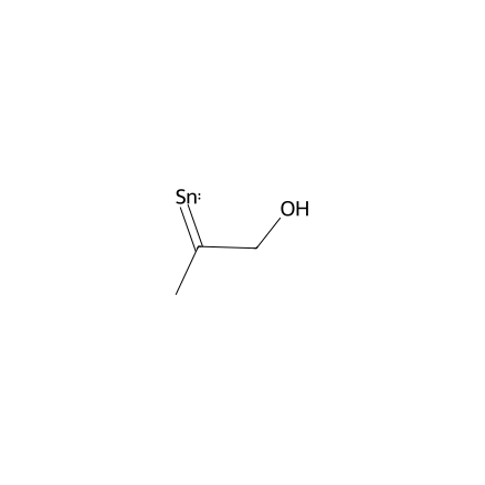 C[C](=[Sn])CO